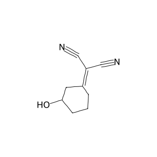 N#CC(C#N)=C1CCCC(O)C1